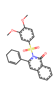 COc1ccc(S(=O)(=O)n2c(C3=CCCC=C3)cc3ccccc3c2=O)cc1OC